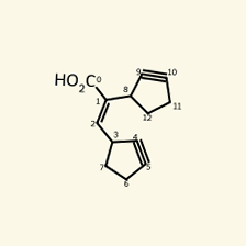 O=C(O)C(=CC1C#CCC1)C1C#CCC1